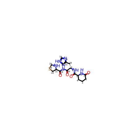 O=C1CCCC(C(=O)N[C@@H](Cc2c[nH]cn2)C(=O)NC(=O)C2CSCN2)N1